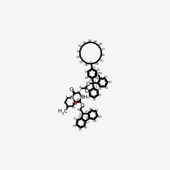 CC1CCN(C(=O)[C@H](CC(=O)OC(c2ccccc2)(c2ccc(C3CCCCCCCCCCCCC3)cc2)c2ccccc2Cl)NC(=O)OCC2c3ccccc3-c3ccccc32)CC1